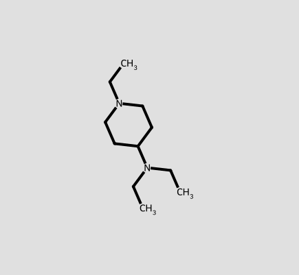 CCN1CCC(N(CC)CC)CC1